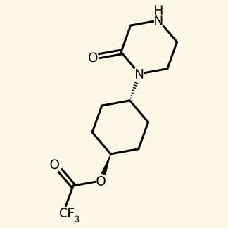 O=C1CNCCN1[C@H]1CC[C@H](OC(=O)C(F)(F)F)CC1